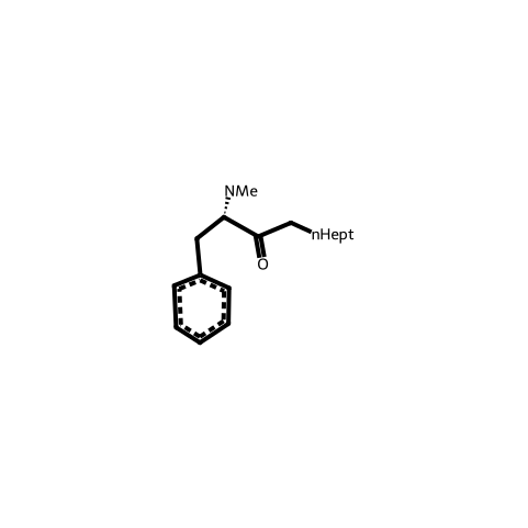 CCCCCCCCC(=O)[C@H](Cc1ccccc1)NC